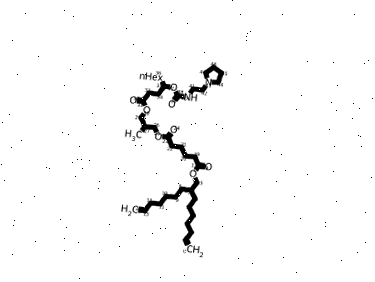 C=CCCCCCC(CCCCCC=C)COC(=O)CCCCC(=O)OCC(C)COC(=O)CCC(CCCCCC)OC(=O)NCCN1CCCC1